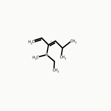 C=C/C(=C/C(C)C)N(C)CC